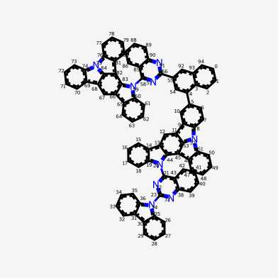 c1ccc2c(-c3ccc4c(c3)c3cc5c6ccccc6n(-c6nc(-n7c8ccccc8c8ccccc87)nc7ccccc67)c5c5c6ccccc6n4c35)cc(-c3nc(-n4c5ccccc5c5cc6c7ccccc7n7c8ccccc8c(c54)c67)c4ccccc4n3)cc2c1